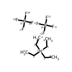 CC[N+](CC)(CC)CC.F[B-](F)(F)F.F[B-](F)(F)F